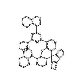 c1ccc(-c2nc(-c3cccc4c3Sc3c(-c5cncc6ccccc56)cccc3C43c4ccccc4-c4ccccc43)cc(-c3cccc4ccccc34)n2)cc1